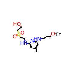 CCOCCCNc1cc(C)cc(NCCS(=O)(=O)CCO)n1